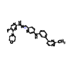 Cc1nccc(-c2cccc(Nc3ccc(/C=N/Nc4ncc(F)c(N5CCOCC5)n4)nc3)c2)n1